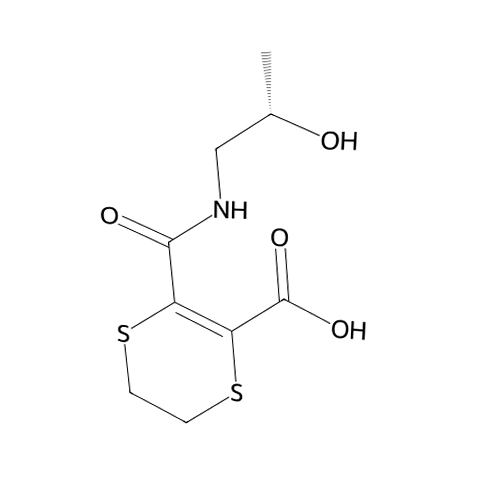 C[C@H](O)CNC(=O)C1=C(C(=O)O)SCCS1